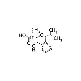 CC(C)Cc1ccccc1C(C)C(=O)[C@@H](C)C(=O)O